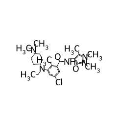 CCN(c1cc(Cl)cc(C(=O)NCc2c(C)n(C)n(C)c2=O)c1C)C1CCC(N(C)C)CC1